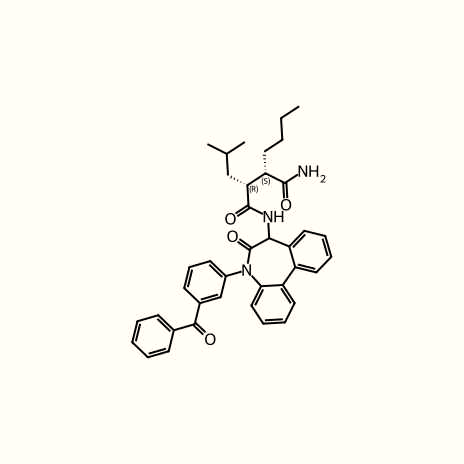 CCCC[C@H](C(N)=O)[C@@H](CC(C)C)C(=O)NC1C(=O)N(c2cccc(C(=O)c3ccccc3)c2)c2ccccc2-c2ccccc21